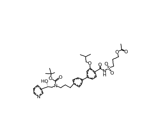 CC(=O)OCCCS(=O)(=O)NC(=O)c1ccc(-c2ccc(CCCN(C[C@@H](O)c3cccnc3)C(=O)OC(C)(C)C)cc2)cc1OCC(C)C